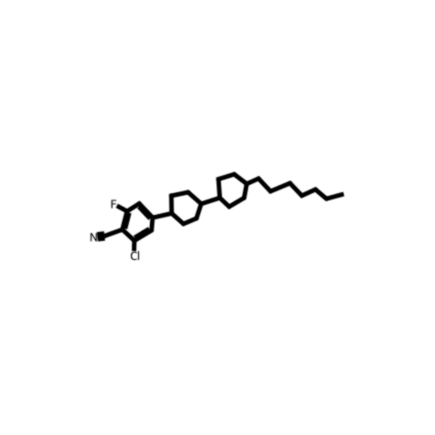 CCCCCCCC1CCC(C2CCC(c3cc(F)c(C#N)c(Cl)c3)CC2)CC1